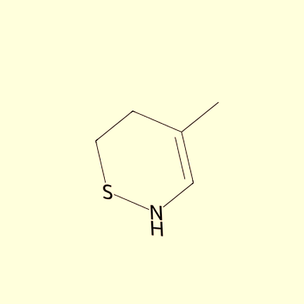 CC1=CNSCC1